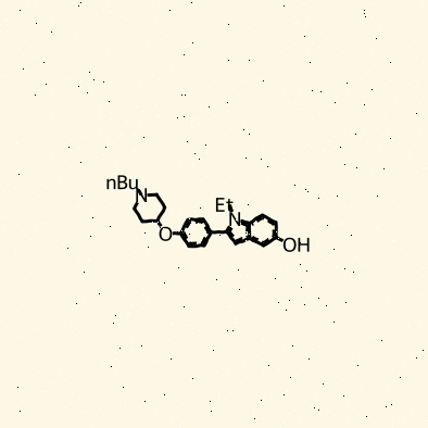 CCCCN1CCC(Oc2ccc(-c3cc4cc(O)ccc4n3CC)cc2)CC1